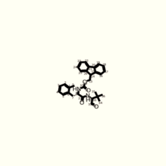 Cc1ccccc1C[C@H](NC(=O)OCC1c2ccccc2-c2ccccc21)C(=O)N[C@H]([C]=O)C(C)(C)C